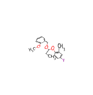 CCC(OCc1ccccc1OC)Oc1ccc(I)cc1C